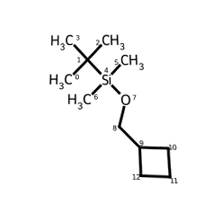 CC(C)(C)[Si](C)(C)OCC1CCC1